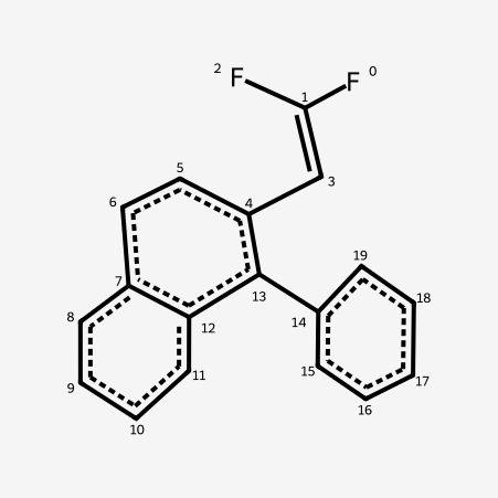 FC(F)=Cc1ccc2ccccc2c1-c1ccccc1